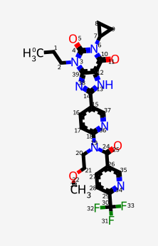 CCCn1c(=O)n(C2CC2)c(=O)c2[nH]c(-c3ccc(N(CCOC)C(=O)c4ccc(C(F)(F)F)nc4)nc3)nc21